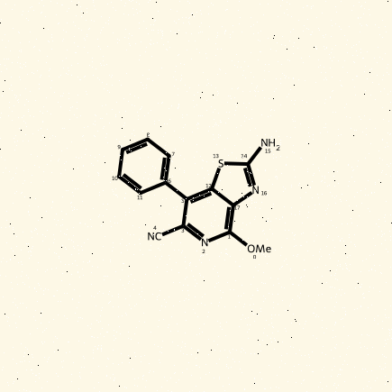 COc1nc(C#N)c(-c2ccccc2)c2sc(N)nc12